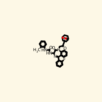 Cc1ccccc1NC(=O)NC1N=C(c2ccccc2F)c2ccccc2N(CC(=O)N2CC3CCC(CC3)C2)C1=O